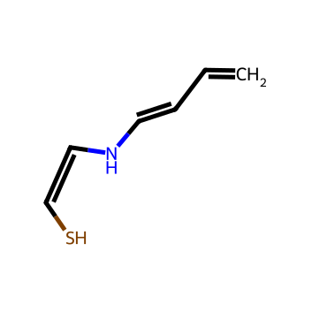 C=C/C=C/N/C=C\S